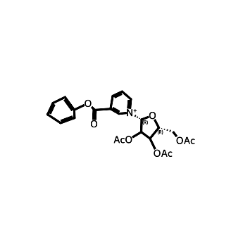 CC(=O)OC[C@H]1O[C@@H]([n+]2cccc(C(=O)Oc3ccccc3)c2)C(OC(C)=O)C1OC(C)=O